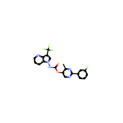 Cc1nc(-c2cccc(F)c2)ncc1OC(=O)Nn1cc(C(F)(F)F)c2ncccc21